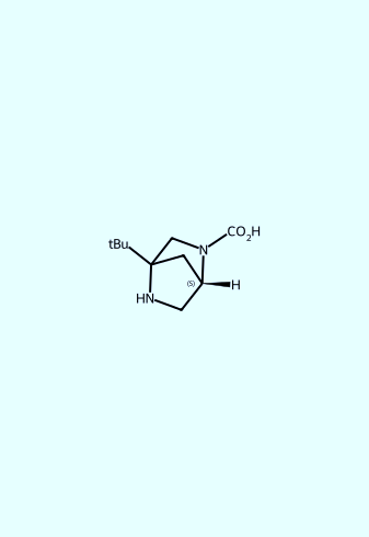 CC(C)(C)C12C[C@@H](CN1)N(C(=O)O)C2